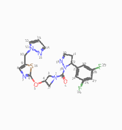 O=C(N1CC(Oc2ncc(Cn3cccn3)s2)C1)N1N=CCC1c1cc(F)cc(F)c1